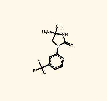 CC1(C)CN(c2cc(C(F)(F)F)ccn2)C(=O)N1